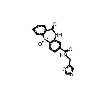 O=C(NCc1cnco1)c1ccc2c(c1)NC(=O)c1ccccc1[S+]2[O-]